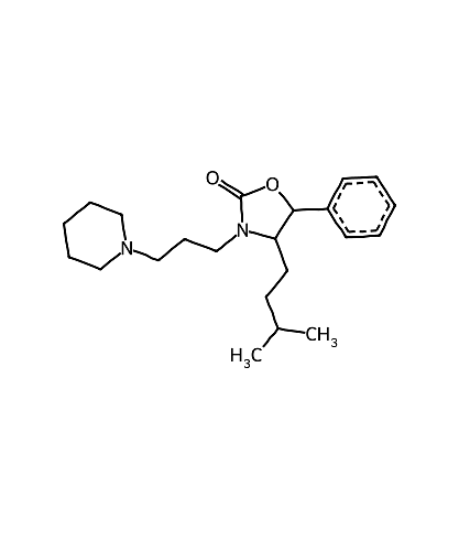 CC(C)CCC1C(c2ccccc2)OC(=O)N1CCCN1CCCCC1